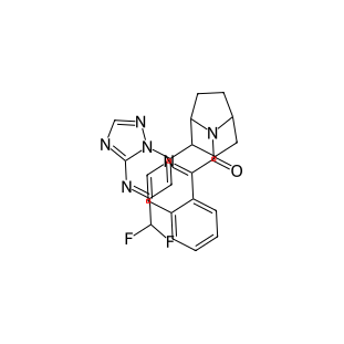 O=C(c1nccc2ccccc12)N1C2CCC(c3cc(C(F)F)nc4ncnn34)C1CC2